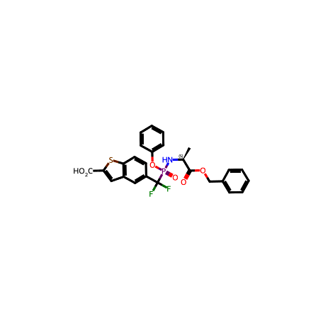 C[C@H](NP(=O)(Oc1ccccc1)C(F)(F)c1ccc2sc(C(=O)O)cc2c1)C(=O)OCc1ccccc1